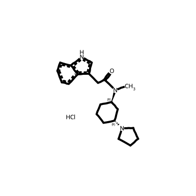 CN(C(=O)Cc1c[nH]c2ccccc12)[C@@H]1CCC[C@@H](N2CCCC2)C1.Cl